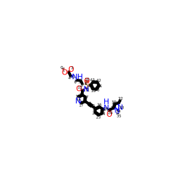 COC(=O)CNCCC[S@@](=O)(=NC(=O)c1cncc(C#Cc2cccc(NC(=O)c3cc(C)nn3C)c2)c1)c1ccccc1